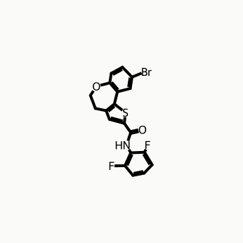 O=C(Nc1c(F)cccc1F)c1cc2c(s1)-c1cc(Br)ccc1OCC2